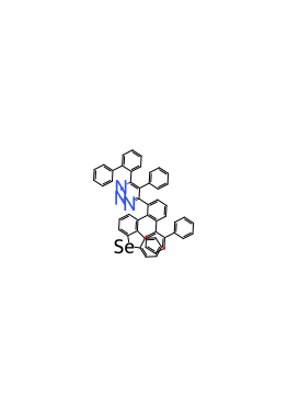 c1ccc(-c2ccccc2-c2cccc(-c3nnnc(-c4ccccc4-c4ccccc4)c3-c3ccccc3)c2-c2cccc3[se]c4ccccc4c23)cc1